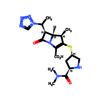 CC([C@H]1C(=O)N2C(C(=O)O)=C(S[C@@H]3CN[C@H](C(=O)N(C)C)C3)[C@H](C)[C@H]12)n1cnnn1